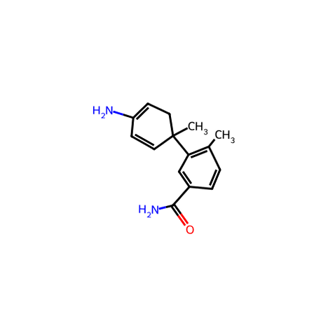 Cc1ccc(C(N)=O)cc1C1(C)C=CC(N)=CC1